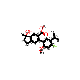 COC(=O)c1cc2c(cc1-c1cc(C(C)C)c(F)cc1OC)CCC2(C)O